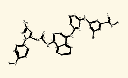 COC(=O)c1cc(Br)cc(Nc2nccc(Oc3ccc(NC(=O)Nc4cc(O)nn4-c4ccc(OC)cc4)c4ccccc34)n2)c1